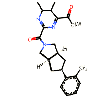 COC(=O)C1=NC(C(=O)N2C[C@H]3C[C@@H](c4ccccc4C(F)(F)F)C[C@H]3C2)=NC(C)C1C